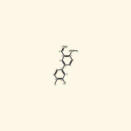 CNc1ccc(-c2ccc(C)c(F)c2)cc1C=N